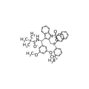 B.COc1cc(OC)cc(C(N[S+]([O-])C(C)(C)C)c2c(CP(c3ccccc3)c3ccccc3)n(S(=O)(=O)c3ccccc3)c3ccccc23)c1